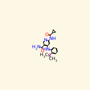 CP(C)c1ccccc1Nc1cc(NC(=O)C2CC2)ncc1C(N)=O